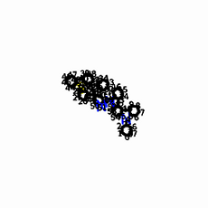 c1ccc(-n2c3ccccc3c3c4c5ccccc5n(-c5cc([Si](c6ccccc6)(c6ccccc6)c6cccc7c6sc6ccccc67)ccn5)c4ccc32)cc1